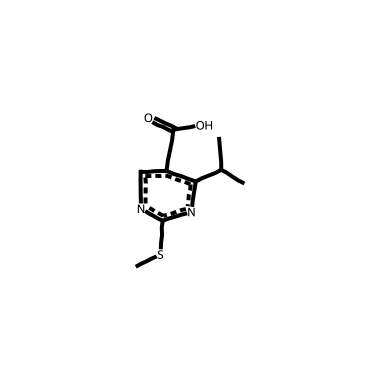 CSc1ncc(C(=O)O)c(C(C)C)n1